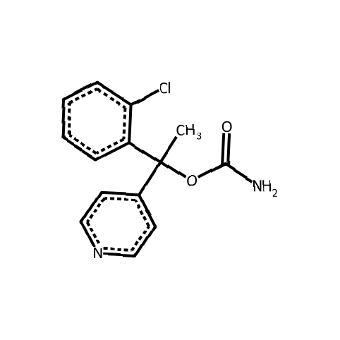 CC(OC(N)=O)(c1ccncc1)c1ccccc1Cl